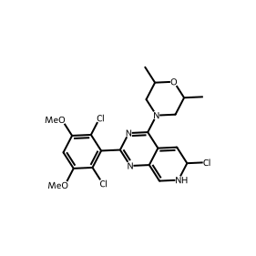 COc1cc(OC)c(Cl)c(-c2nc(N3CC(C)OC(C)C3)c3c(n2)=CNC(Cl)C=3)c1Cl